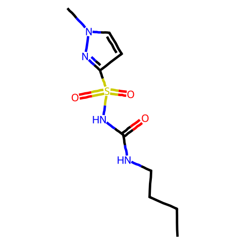 CCCCNC(=O)NS(=O)(=O)c1ccn(C)n1